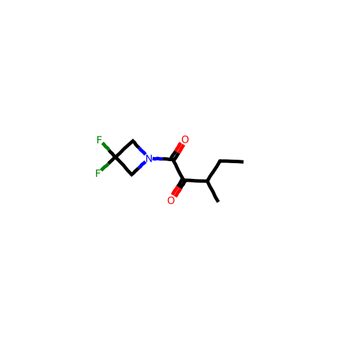 CCC(C)C(=O)C(=O)N1CC(F)(F)C1